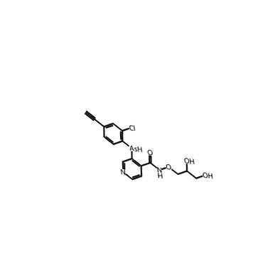 C#Cc1ccc([AsH]c2cnccc2C(=O)NOCC(O)CO)c(Cl)c1